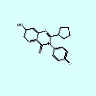 O=c1c2c(nc(C3CCCC3)n1-c1ccc(Cl)cc1)=CC(O)CC=2